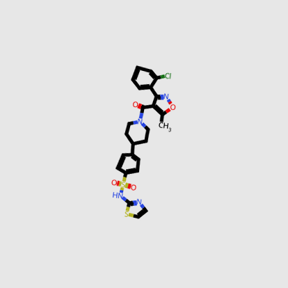 Cc1onc(-c2ccccc2Cl)c1C(=O)N1CCC(c2ccc(S(=O)(=O)Nc3nccs3)cc2)CC1